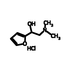 CN(C)CC(O)c1ccco1.Cl